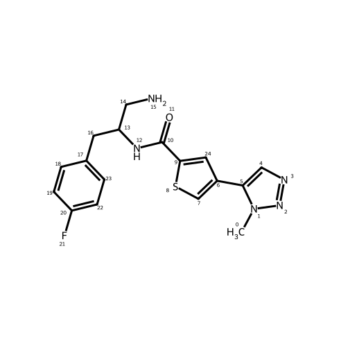 Cn1nncc1-c1csc(C(=O)NC(CN)Cc2ccc(F)cc2)c1